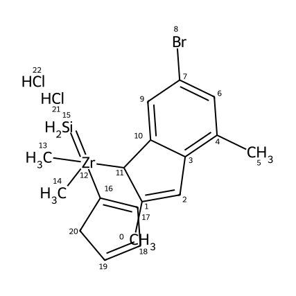 CC1=Cc2c(C)cc(Br)cc2[CH]1[Zr]([CH3])([CH3])(=[SiH2])[C]1=CC=CC1.Cl.Cl